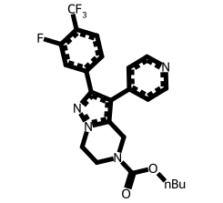 CCCCOC(=O)N1CCn2nc(-c3ccc(C(F)(F)F)c(F)c3)c(-c3ccncc3)c2C1